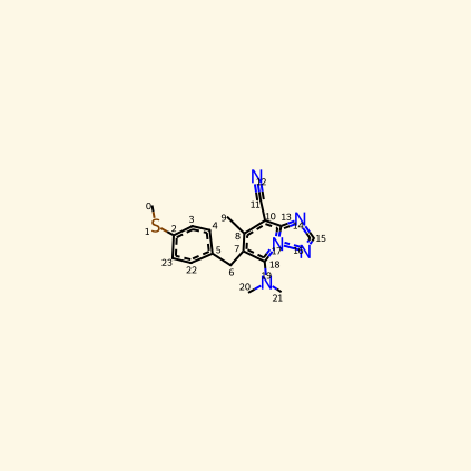 CSc1ccc(Cc2c(C)c(C#N)c3ncnn3c2N(C)C)cc1